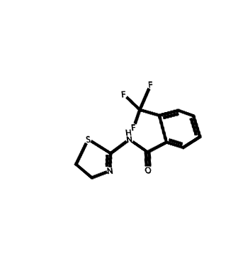 O=C(NC1=NCCS1)c1ccccc1C(F)(F)F